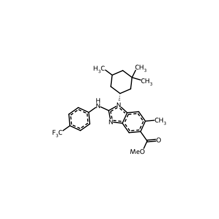 COC(=O)c1cc2nc(Nc3ccc(C(F)(F)F)cc3)n([C@@H]3CC(C)CC(C)(C)C3)c2cc1C